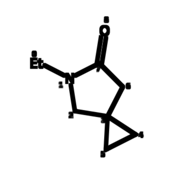 CCN1CC2(CC2)CC1=O